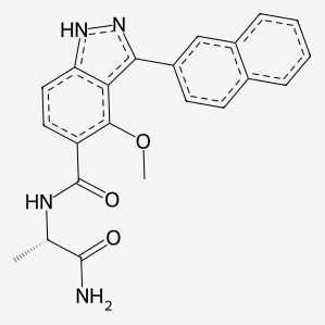 COc1c(C(=O)N[C@@H](C)C(N)=O)ccc2[nH]nc(-c3ccc4ccccc4c3)c12